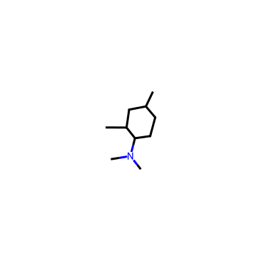 CC1CCC(N(C)C)C(C)C1